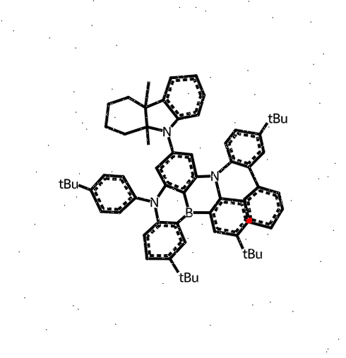 CC(C)(C)c1ccc(N2c3ccc(C(C)(C)C)cc3B3c4cc(C(C)(C)C)ccc4N(c4ccc(C(C)(C)C)cc4-c4ccccc4)c4cc(N5c6ccccc6C6(C)CCCCC56C)cc2c43)cc1